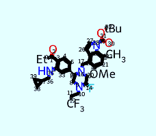 CCC(=O)c1ccc([C@@H]2CN(CCC(F)(F)F)C(F)CN2Cc2c(OC)cc(C)c3c2ccn3C(=O)OC(C)(C)C)cc1NCC1CC1